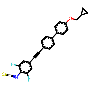 Fc1cc(C#Cc2ccc(-c3ccc(OCC4CC4)cc3)cc2)cc(F)c1N=C=S